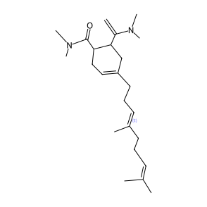 C=C(C1CC(CC/C=C(\C)CCC=C(C)C)=CCC1C(=O)N(C)C)N(C)C